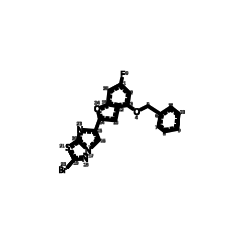 Fc1cc(OCc2ccccc2)c2cc(-c3cn4nc(Br)sc4n3)oc2c1